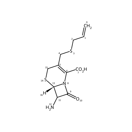 C=CCSCC1=C(C(=O)O)N2C(=O)C(N)[C@@H]2SC1